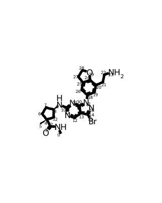 CNC(=O)[C@]1(C)CC[C@@H](Nc2ncc3c(Br)nn(-c4cc(CCN)c5c(c4)CCO5)c3n2)C1